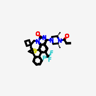 C=CC(=O)N1[C@H](C)CN(c2nc(=O)n3c4c(c(-c5ccccc5C5CC5)c(C(F)(F)F)cc24)SCC2(CCC2)C3)C[C@@H]1C